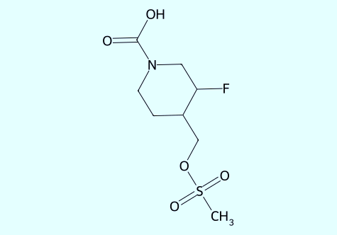 CS(=O)(=O)OCC1CCN(C(=O)O)CC1F